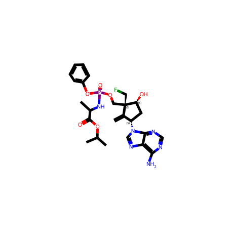 C=C1[C@@H](n2cnc3c(N)ncnc32)C[C@H](O)[C@@]1(CF)COP(=O)(NC(C)C(=O)OC(C)C)Oc1ccccc1